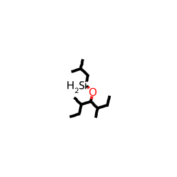 CCC(C)C(O[SiH2]CC(C)C)C(C)CC